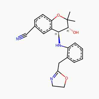 CC1(C)Oc2ccc(C#N)cc2[C@H](Nc2ccccc2CC2=NCCO2)[C@H]1O